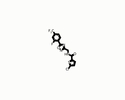 O=C(NCc1noc(-c2ccc(C(F)(F)F)cc2F)n1)c1ccc(Cl)s1